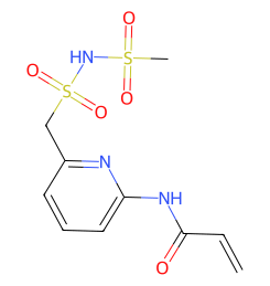 C=CC(=O)Nc1cccc(CS(=O)(=O)NS(C)(=O)=O)n1